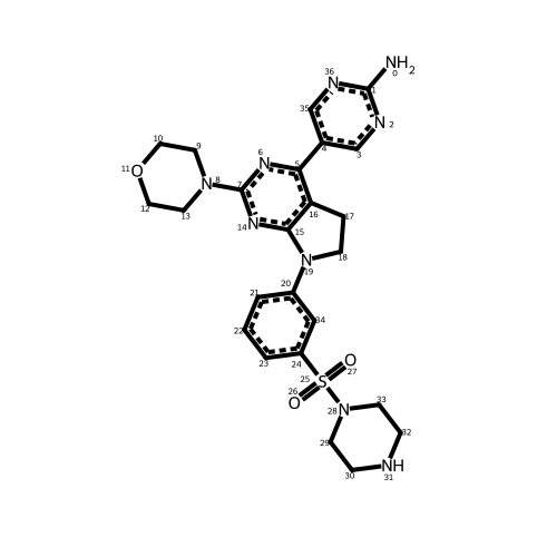 Nc1ncc(-c2nc(N3CCOCC3)nc3c2CCN3c2cccc(S(=O)(=O)N3CCNCC3)c2)cn1